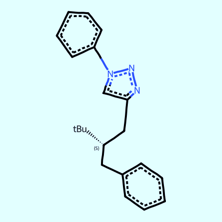 CC(C)(C)[C@@H](Cc1ccccc1)Cc1cn(-c2ccccc2)nn1